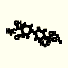 CC(C)c1ccc(-c2ccc(C(C)(C)C)cc2)cc1Cl